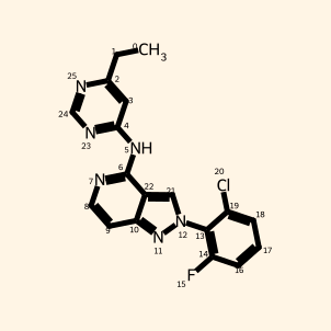 CCc1cc(Nc2nccc3nn(-c4c(F)cccc4Cl)cc23)ncn1